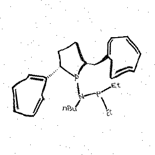 CCCCN(P(CC)CC)P1[C@H](c2ccccc2)CC[C@H]1c1ccccc1